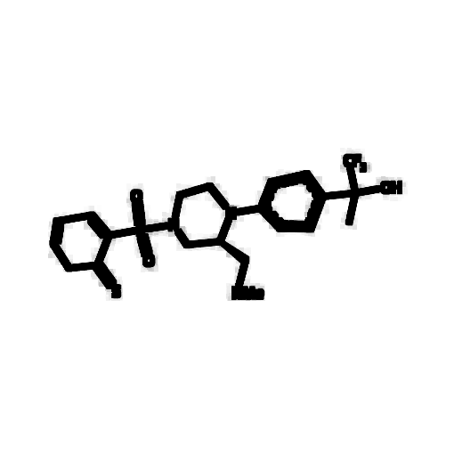 CNC[C@H]1CN(S(=O)(=O)C2=CC=CCC2=S)CCN1c1ccc(C(C)(O)C(F)(F)F)cc1